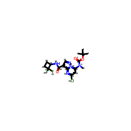 CN(C(=O)OC(C)(C)C)c1cc(Cl)nc2c(C(=O)NC3CCC3(F)F)cnn12